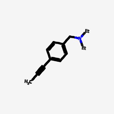 CC#Cc1ccc(CN(CC)CC)cc1